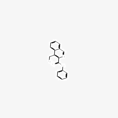 O=C(Oc1ccccc1)c1ncc2ccccc2c1CBr